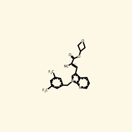 N#C/C(=C\c1cn(Cc2cc(C(F)(F)F)cc(C(F)(F)F)c2)c2ncccc12)C(=O)OC1COC1